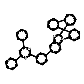 c1ccc(-c2cc(-c3ccccc3)nc(-c3cccc(-c4ccc5c(c4)nc4n5-c5ccccc5C45c4ccccc4-c4ccccc45)c3)n2)cc1